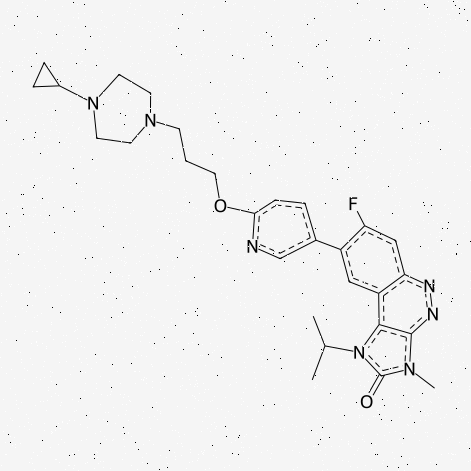 CC(C)n1c(=O)n(C)c2nnc3cc(F)c(-c4ccc(OCCCN5CCN(C6CC6)CC5)nc4)cc3c21